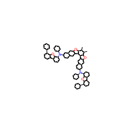 Cc1c(C)c2oc3cc4cc(N(c5ccccc5)c5cccc6c5oc5c(-c7ccccc7)cccc56)ccc4cc3c2c2c1oc1cc3cc(N(c4ccccc4)c4cccc5c4oc4c(-c6ccccc6)cccc45)ccc3cc12